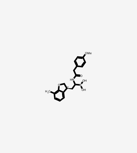 COc1ccc(CC(=O)NC(C[C@@H]2COc3c(C)cccc32)B(O)O)cc1